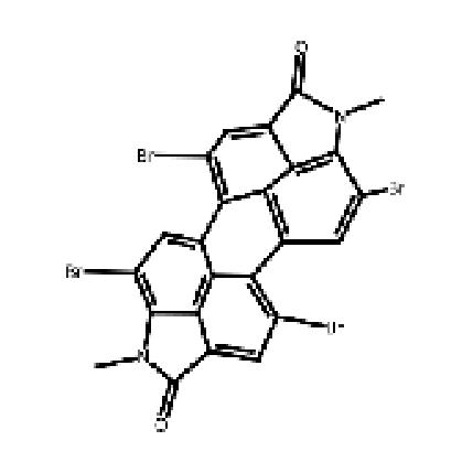 CN1C(=O)c2cc(Br)c3c4cc(Br)c5c6c(cc(Br)c(c7cc(Br)c1c2c73)c64)C(=O)N5C